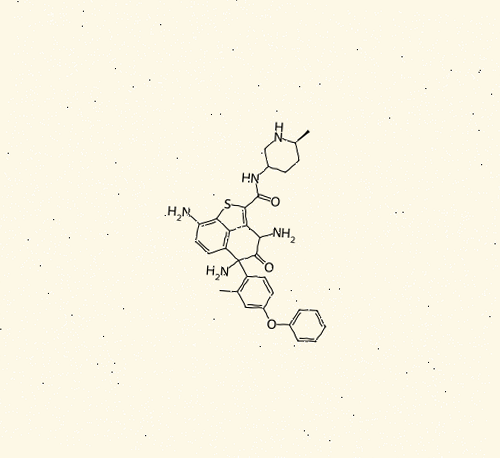 Cc1cc(Oc2ccccc2)ccc1C1(N)C(=O)C(N)c2c(C(=O)NC3CC[C@H](C)NC3)sc3c(N)ccc1c23